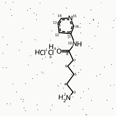 Cl.Cl.NCCCCCC(=O)Nc1cccnc1